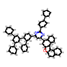 c1ccc(-c2ccc(-c3nc(-c4ccc(-c5cc(-c6ccccc6)cc(-c6ccccc6)c5)c(-c5ccccc5)c4)cc(-c4cc5oc6ccc7ccccc7c6c5c5ccccc45)n3)cc2)cc1